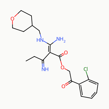 CCC(=N)/C(C(=O)OCC(=O)c1ccccc1Cl)=C(/N)NCC1CCOCC1